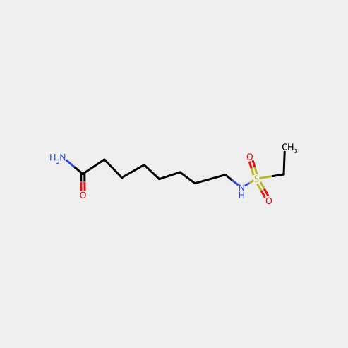 CCS(=O)(=O)NCCCCCCCC(N)=O